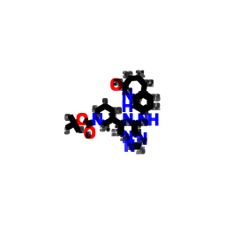 CC(C)(C)OC(=O)N1CCCC(c2cn3ncnc3c(Nc3ccc4c(c3)NC(=O)CCC4)n2)C1